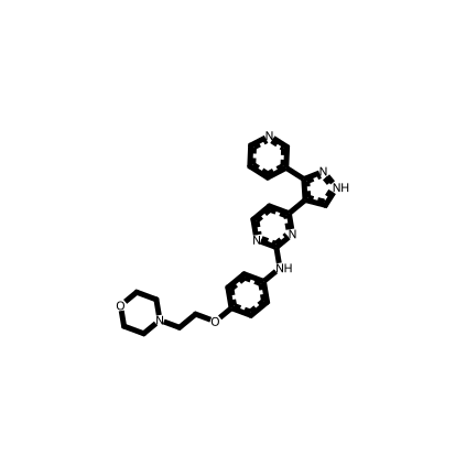 c1cncc(-c2n[nH]cc2-c2ccnc(Nc3ccc(OCCN4CCOCC4)cc3)n2)c1